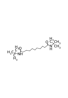 CC(C)(C)NC(=O)CCCCCCCCCC(=O)NC(C)(C)C